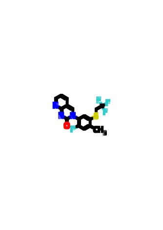 Cc1cc(F)c(-n2cc3cccnc3nc2=O)cc1SCC(F)(F)F